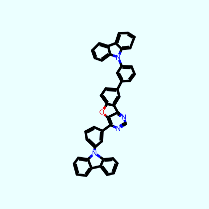 c1cc(-c2ccc3oc4c(-c5cccc(-n6c7ccccc7c7ccccc76)c5)ncnc4c3c2)cc(-n2c3ccccc3c3ccccc32)c1